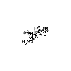 CC1C(NC(=O)/C(=N/OCF)c2csc(N)n2)C(=O)N1c1nnn[nH]1